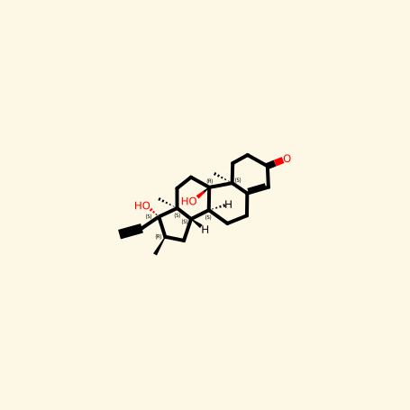 C#C[C@]1(O)[C@H](C)C[C@H]2[C@@H]3CCC4=CC(=O)CC[C@]4(C)[C@@]3(O)CC[C@@]21C